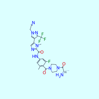 Cc1cc(NC(=O)c2ncc(-c3cn(CC#N)nc3C(F)(F)F)n2C)cc(F)c1C(=O)N1CCN(C(=O)[C@H](C)N)CC1